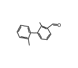 Cc1ccccc1-c1cccc(C=O)c1C